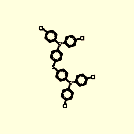 Clc1ccc([S+](c2ccc(Cl)cc2)c2ccc(Sc3ccc([S+](c4ccc(Cl)cc4)c4ccc(Cl)cc4)cc3)cc2)cc1